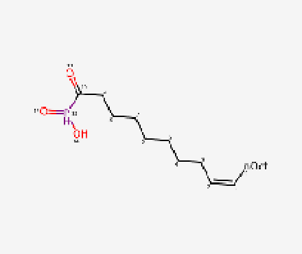 CCCCCCCC/C=C\CCCCCCCC(=O)[PH](=O)O